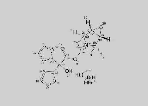 Br.Br.CO.C[N+]1(C)[C@@H]2CC(OC(=O)C(O)(c3cccs3)c3cccs3)C[C@H]1[C@@H]1O[C@@H]12